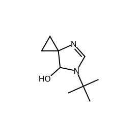 CC(C)(C)N1C=NC2(CC2)C1O